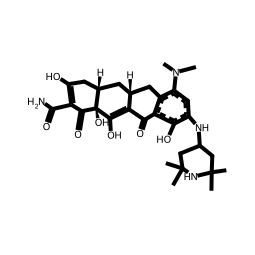 CN(C)c1cc(NC2CC(C)(C)NC(C)(C)C2)c(O)c2c1C[C@H]1C[C@H]3CC(O)=C(C(N)=O)C(=O)[C@@]3(O)C(O)=C1C2=O